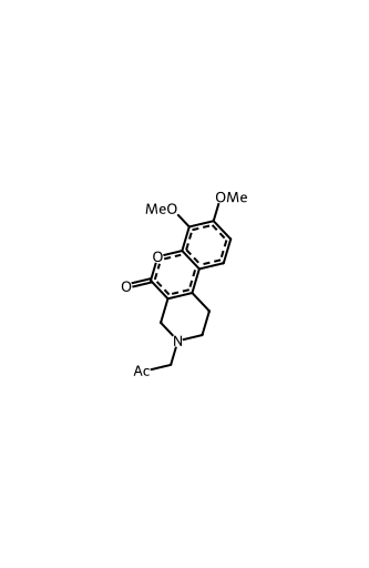 COc1ccc2c3c(c(=O)oc2c1OC)CN(CC(C)=O)CC3